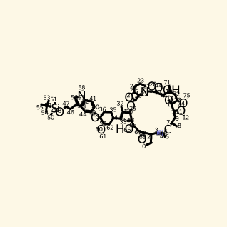 CCC1/C=C(\C)CC(C)CC(OC)C2OC(O)(C(=O)C(=O)N3CCCCC3C(=O)OC(C(C)=CC3CCC(Oc4ccc5c(c4)c(CCO[Si](C)(C)C(C)(C)C)cn5C)C(OC)C3)C(C)C(O)CC1=O)C(C)CC2OC